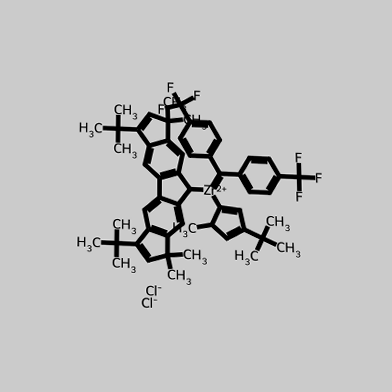 CC1C=C(C(C)(C)C)C=[C]1[Zr+2](=[C](c1ccc(C(F)(F)F)cc1)c1ccc(C(F)(F)F)cc1)[CH]1c2cc3c(cc2-c2cc4c(cc21)C(C)(C)C=C4C(C)(C)C)C(C(C)(C)C)=CC3(C)C.[Cl-].[Cl-]